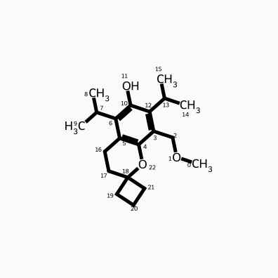 COCc1c2c(c(C(C)C)c(O)c1C(C)C)CCC1(CCC1)O2